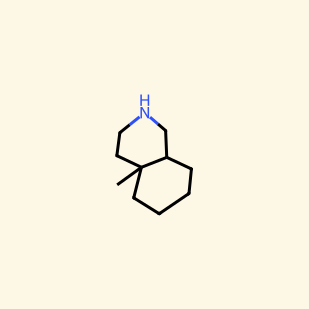 CC12CCCCC1CNCC2